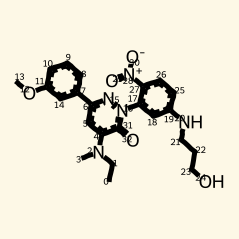 CCN(C)c1cc(-c2cccc(OC)c2)nn(-c2cc(NCCCO)ccc2[N+](=O)[O-])c1=O